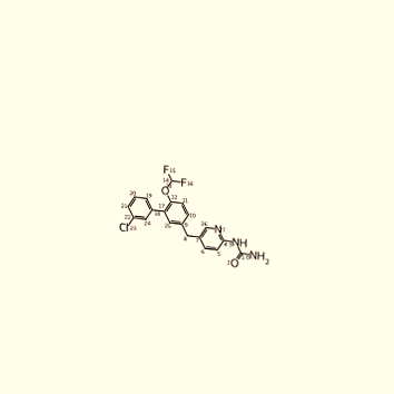 NC(=O)Nc1ccc(Cc2ccc(OC(F)F)c(-c3cccc(Cl)c3)c2)cn1